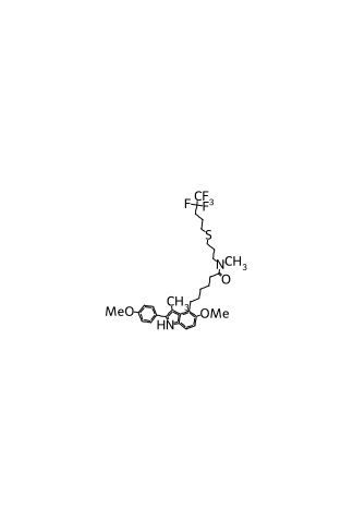 COc1ccc(-c2[nH]c3ccc(OC)c(CCCCCC(=O)N(C)CCCSCCCC(F)(F)C(F)(F)F)c3c2C)cc1